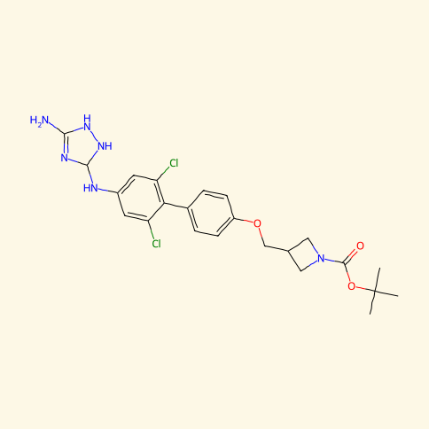 CC(C)(C)OC(=O)N1CC(COc2ccc(-c3c(Cl)cc(NC4N=C(N)NN4)cc3Cl)cc2)C1